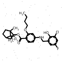 CCCCOc1cc(NCc2cc(F)cc(Cl)c2O)ccc1C(=O)OC1CC2CCC1(C)C2(C)C